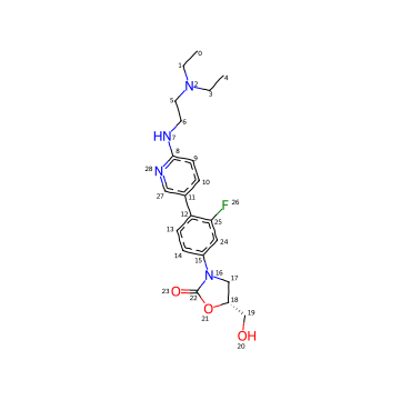 CCN(CC)CCNc1ccc(-c2ccc(N3C[C@H](CO)OC3=O)cc2F)cn1